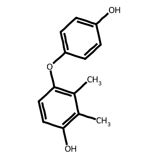 Cc1c(O)ccc(Oc2ccc(O)cc2)c1C